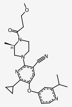 COCCC(=O)N1CCN(c2nc(C3CC3)c(Oc3ccnc(C(C)C)c3)cc2C#N)C[C@H]1C